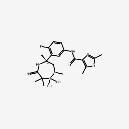 Cc1nc(C(=O)Nc2ccc(F)c([C@]3(C)CN(C)S(O)(O)C(C)(C)C(=N)N3)c2)c(C)o1